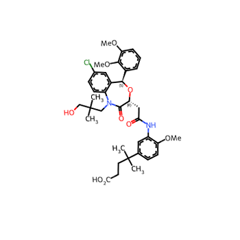 COc1ccc(C(C)(C)CCC(=O)O)cc1NC(=O)C[C@H]1O[C@H](c2cccc(OC)c2OC)c2cc(Cl)ccc2N(CC(C)(C)CO)C1=O